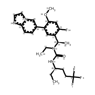 CC[C@H](CCC(F)(F)F)NC(=O)N(CC)[C@H](C)c1cc(-c2ccc3nccn3c2)c(OC)cc1F